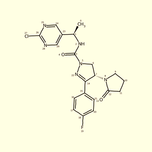 C[C@@H](NC(=O)N1C[C@H](N2CCCC2=O)C(c2ccc(F)cc2)=N1)c1cnc(Cl)nc1